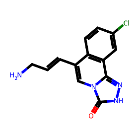 NCC=Cc1cn2c(=O)[nH]nc2c2cc(Cl)ccc12